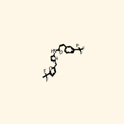 CC(F)(F)c1ccc(Cn2ccc(NC(=O)/C=C\c3cccc(C(F)(F)F)c3)n2)o1